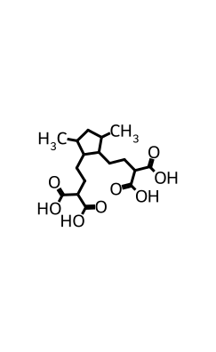 CC1CC(C)C(CCC(C(=O)O)C(=O)O)C1CCC(C(=O)O)C(=O)O